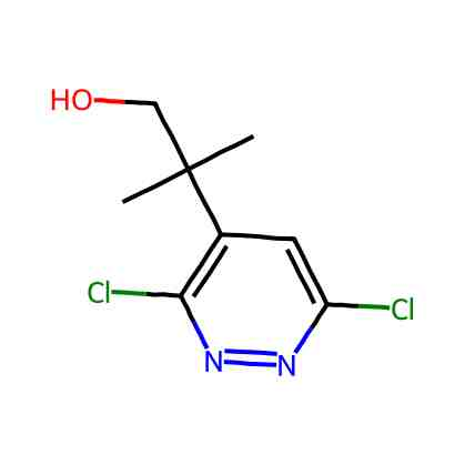 CC(C)(CO)c1cc(Cl)nnc1Cl